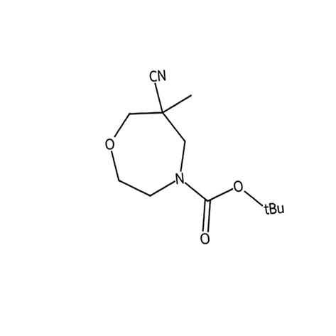 CC1(C#N)COCCN(C(=O)OC(C)(C)C)C1